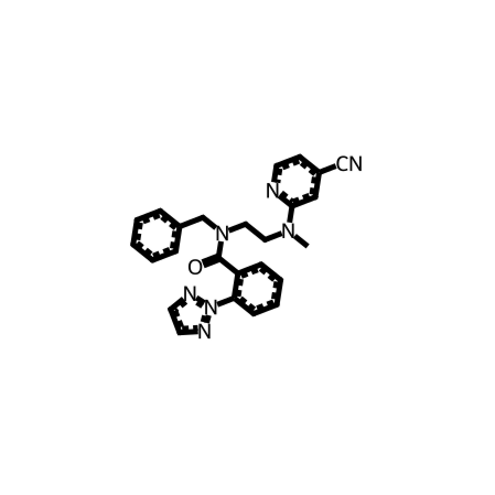 CN(CCN(Cc1ccccc1)C(=O)c1ccccc1-n1nccn1)c1cc(C#N)ccn1